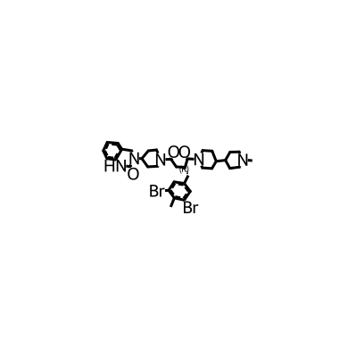 Cc1c(Br)cc(C[C@H](CC(=O)N2CCC(N3Cc4ccccc4NC3=O)CC2)C(=O)N2CCC(C3CCN(C)CC3)CC2)cc1Br